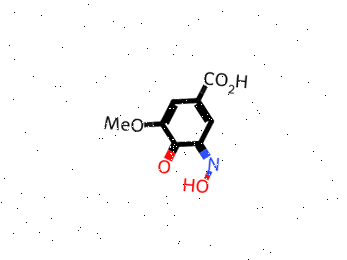 COC1=CC(C(=O)O)=CC(=NO)C1=O